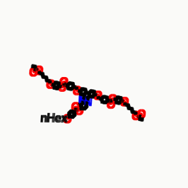 C=CC(=O)OCCCCCCOc1ccc(OC(=O)C2CCC(COc3ccc4c5ccc(OCC6CCC(C(=O)Oc7ccc(OCCCCCCOC(=O)C=C)cc7)CC6)cc5c5nc6cc(OC(=O)c7ccc(OCCCCCC)cc7)ccc6nc5c4c3)CC2)cc1